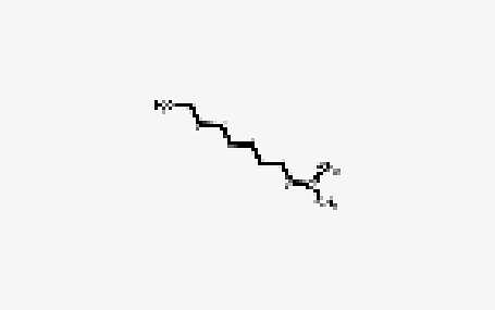 CCCCCCCCO[S+](C)C